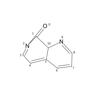 O=C1N=CC=C2C=CC=NC12